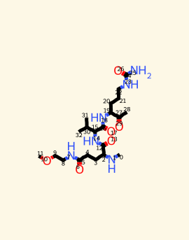 CNC(CCC(=O)NCCOC)C(=O)NC(C(=O)NC(CCCNC(N)=O)C(C)=O)C(C)C